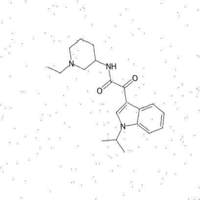 CCN1CCCC(NC(=O)C(=O)c2cn(C(C)C)c3ccccc23)C1